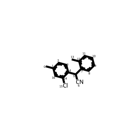 Cc1ccc(C(C#N)c2ccccc2C)c(Cl)c1